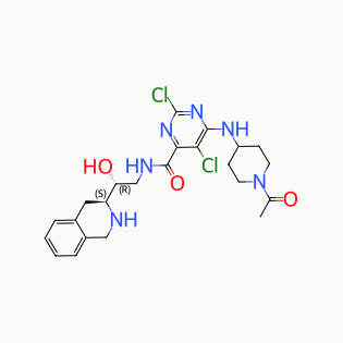 CC(=O)N1CCC(Nc2nc(Cl)nc(C(=O)NC[C@@H](O)[C@@H]3Cc4ccccc4CN3)c2Cl)CC1